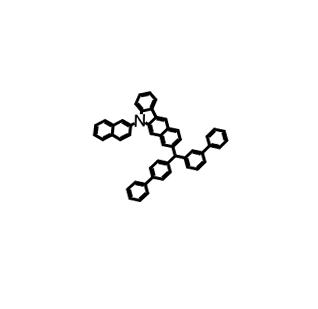 c1ccc(-c2ccc(C(c3cccc(-c4ccccc4)c3)c3ccc4cc5c6ccccc6n(-c6ccc7ccccc7c6)c5cc4c3)cc2)cc1